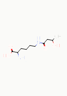 CC(O)CC(=O)NCCCCC(N)C(=O)O